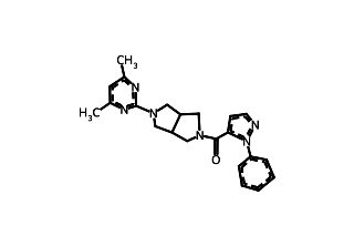 Cc1cc(C)nc(N2CC3CN(C(=O)c4ccnn4-c4ccccc4)CC3C2)n1